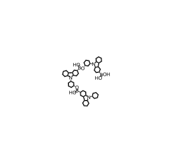 OB(O)c1ccc2c(c1)c1ccccc1n2-c1cccc(OB(O)c2ccc3c(c2)c2ccccc2n3-c2cccc(OB(O)c3ccc4c(c3)c3ccccc3n4-c3ccccc3)c2)c1